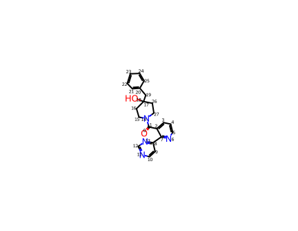 O=C(c1cccnc1-c1ccncn1)N1CCC(O)(Cc2ccccc2)CC1